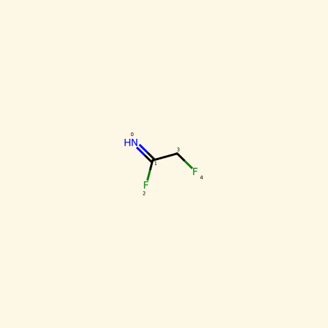 N=C(F)CF